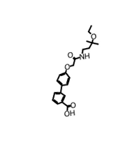 CCOC(C)(C)CCNC(=O)COc1ccc(-c2cccc(C(=O)O)c2)cc1